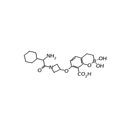 NC(C(=O)N1CC(Oc2ccc3c(c2C(=O)O)O[B-](O)(O)CC3)C1)C1CCCCC1